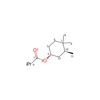 CC(C)C(=O)O[C@H]1CCC(C)(C)[C@@H](C)C1